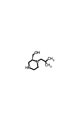 CC(C)CN1CCNC[C@H]1CO